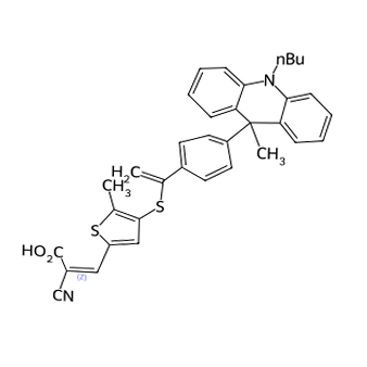 C=C(Sc1cc(/C=C(/C#N)C(=O)O)sc1C)c1ccc(C2(C)c3ccccc3N(CCCC)c3ccccc32)cc1